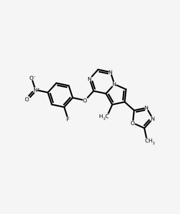 Cc1nnc(-c2cn3ncnc(Oc4ccc([N+](=O)[O-])cc4F)c3c2C)o1